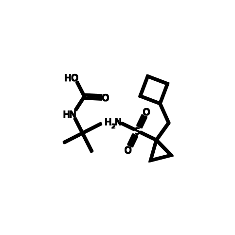 CC(C)(C)NC(=O)O.NS(=O)(=O)C1(CC2CCC2)CC1